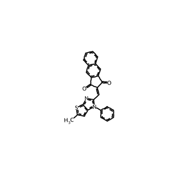 Cc1cc2c(nc(C=C3C(=O)c4cc5ccccc5cc4C3=O)n2-c2ccccc2)s1